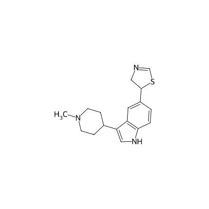 CN1CCC(c2c[nH]c3ccc(C4CN=CS4)cc23)CC1